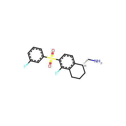 NC[C@@H]1CCCc2c1ccc(S(=O)(=O)c1cccc(F)c1)c2F